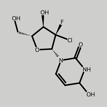 O=C1NC(O)C=CN1[C@@H]1O[C@H](CO)[C@@H](O)[C@]1(F)Cl